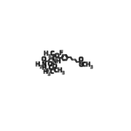 COC(=O)CCCCc1ccc(CO[C@H](C)[C@H](CCC(N)=O)NC(=O)OC(C)(C)C)c(F)c1